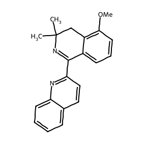 COc1cccc2c1CC(C)(C)N=C2c1ccc2ccccc2n1